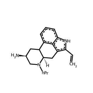 C=Cc1[nH]c2cccc3c2c1C[C@@H]1C3C[C@H](N)CN1CCC